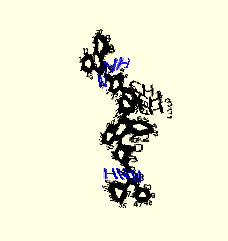 CC1=C(c2ccc(-c3nc(-c4ccccc4)c(-c4ccccc4)[nH]3)cc2)c2ccc(-c3c4ccccc4c(-c4ccc(-c5nc(-c6ccccc6)c(-c6ccccc6)[nH]5)cc4)c4ccccc34)cc2C1(C)C